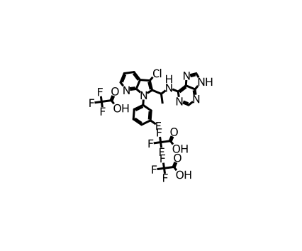 CC(Nc1ncnc2[nH]cnc12)c1c(Cl)c2cccnc2n1-c1cccc(F)c1.O=C(O)C(F)(F)F.O=C(O)C(F)(F)F.O=C(O)C(F)(F)F